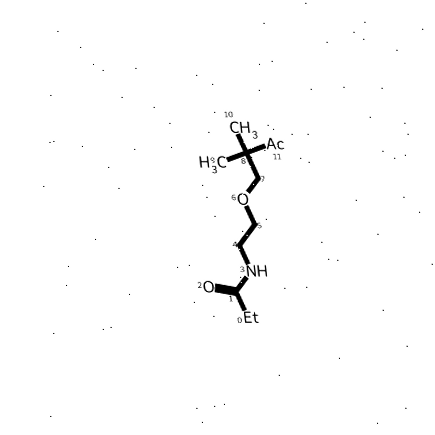 CCC(=O)NCCOCC(C)(C)C(C)=O